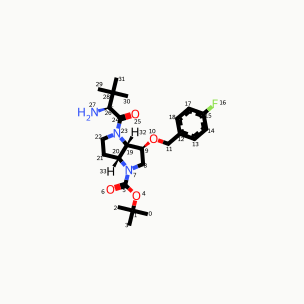 CC(C)(C)OC(=O)N1C[C@H](OCc2ccc(F)cc2)[C@@H]2[C@H]1CCN2C(=O)[C@@H](N)C(C)(C)C